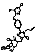 C=CCn1c(-c2ccc(Oc3ncc(Cl)cc3F)cc2)nn(CC(CC(=O)O)NC(=O)OC(C)(C)C)c1=O